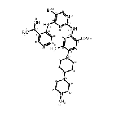 COc1cc(N2CCC(N3CCN(C)CC3)CC2)c(C)cc1Nc1ncc(Br)c(Nc2ccccc2C(O)C(F)(F)F)n1